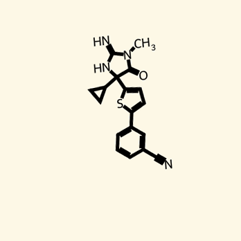 CN1C(=N)NC(c2ccc(-c3cccc(C#N)c3)s2)(C2CC2)C1=O